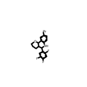 CC(C)c1ccc2c(c1)C1OCCCC1C(c1cc(F)c(F)cc1F)N2